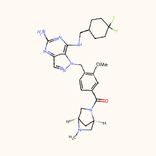 COc1cc(C(=O)N2C[C@H]3C[C@@H]2CN3C)ccc1Cn1ncc2nc(N)nc(NCC3CCC(F)(F)CC3)c21